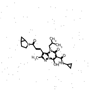 Cc1nn2c(O)c(C(=O)NC3CC3)c(=O)n(CC(C)C)c2c1C=CC(=O)N1CCC2CC21